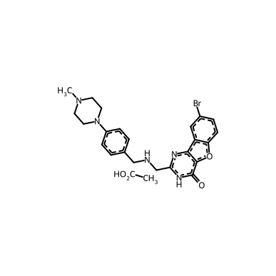 CC(=O)O.CN1CCN(c2ccc(CNCc3nc4c(oc5ccc(Br)cc54)c(=O)[nH]3)cc2)CC1